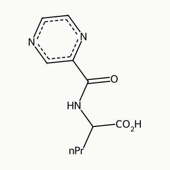 CCCC(NC(=O)c1cnccn1)C(=O)O